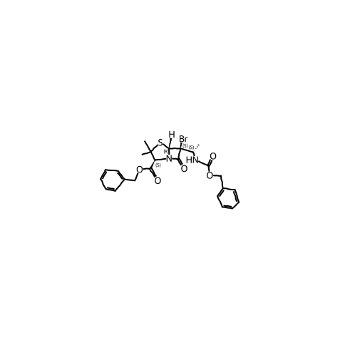 C[C@H](NC(=O)OCc1ccccc1)[C@]1(Br)C(=O)N2[C@@H](C(=O)OCc3ccccc3)C(C)(C)S[C@@H]21